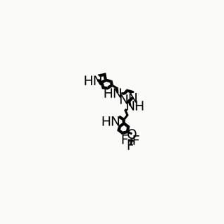 FC(F)(F)Oc1ccc2[nH]cc(CCNc3nccc(NCc4ccc5[nH]ccc5c4)n3)c2c1